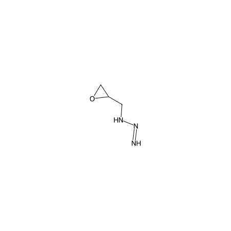 N=NNCC1CO1